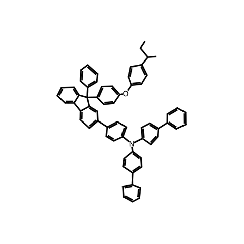 CCC(C)c1ccc(Oc2ccc(C3(c4ccccc4)c4ccccc4-c4ccc(-c5ccc(N(c6ccc(-c7ccccc7)cc6)c6ccc(-c7ccccc7)cc6)cc5)cc43)cc2)cc1